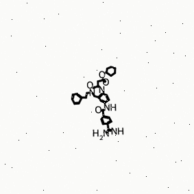 N=C(N)c1ccc(C(=O)Nc2ccc3c(c2)CN(CCc2ccccc2)C(=O)C(CC(=O)OC2CCCCC2)=N3)cc1